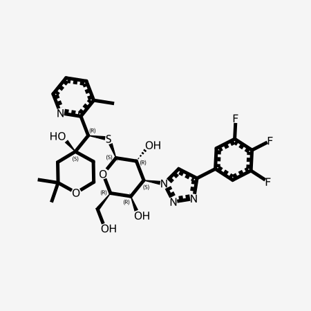 Cc1cccnc1[C@@H](S[C@@H]1O[C@H](CO)[C@H](O)[C@H](n2cc(-c3cc(F)c(F)c(F)c3)nn2)[C@H]1O)[C@]1(O)CCOC(C)(C)C1